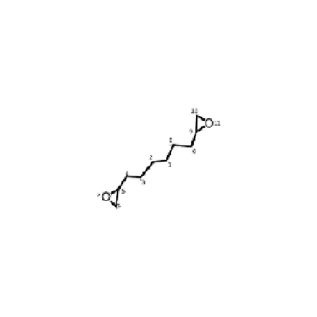 [CH](CC[CH]CC1CO1)CC1CO1